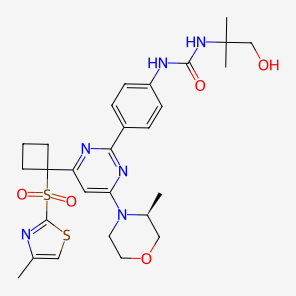 Cc1csc(S(=O)(=O)C2(c3cc(N4CCOC[C@@H]4C)nc(-c4ccc(NC(=O)NC(C)(C)CO)cc4)n3)CCC2)n1